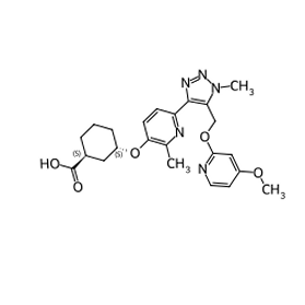 COc1ccnc(OCc2c(-c3ccc(O[C@H]4CCC[C@H](C(=O)O)C4)c(C)n3)nnn2C)c1